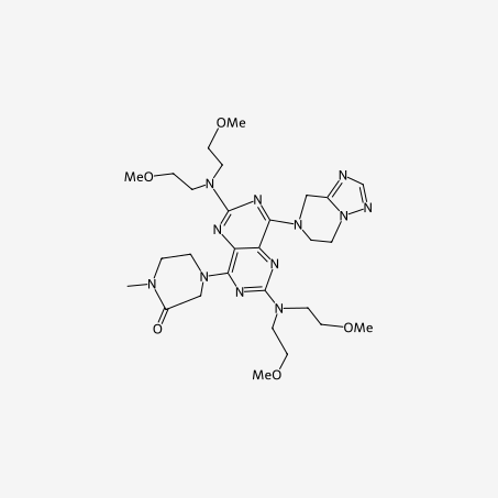 COCCN(CCOC)c1nc(N2CCn3ncnc3C2)c2nc(N(CCOC)CCOC)nc(N3CCN(C)C(=O)C3)c2n1